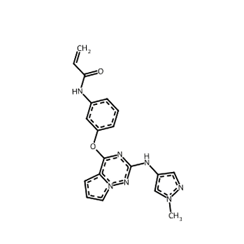 C=CC(=O)Nc1cccc(Oc2nc(Nc3cnn(C)c3)nn3cccc23)c1